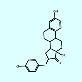 CC12CCC3c4ccc(O)cc4CCC3C1CC(Sc1ccc(Cl)cc1)C2=O